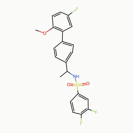 COc1ccc(F)cc1-c1ccc(C(C)NS(=O)(=O)c2ccc(F)c(F)c2)cc1